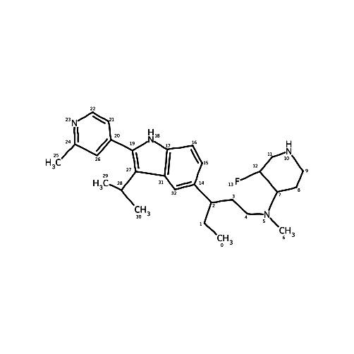 CCC(CCN(C)C1CCNCC1F)c1ccc2[nH]c(-c3ccnc(C)c3)c(C(C)C)c2c1